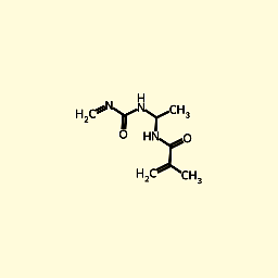 C=NC(=O)NC(C)NC(=O)C(=C)C